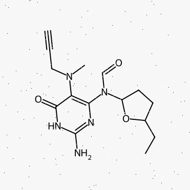 C#CCN(C)c1c(N(C=O)C2CCC(CC)O2)nc(N)[nH]c1=O